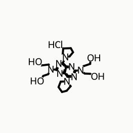 Cl.OCCN(CCO)c1nc(N2CCCCC2)c2nc(N(CCO)CCO)nc(N3CCCCC3)c2n1